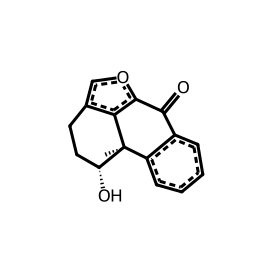 C[C@@]12c3ccccc3C(=O)c3occ(c31)CC[C@H]2O